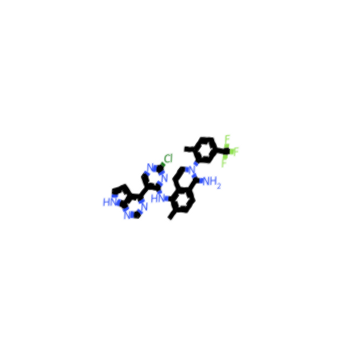 Cc1ccc(C(F)(F)F)cc1N1C=Cc2c(ccc(C)c2Nc2nc(Cl)ncc2-c2ncnc3[nH]ccc23)C1N